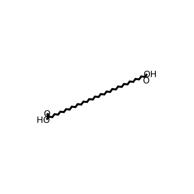 O=C(O)CCCCCCCCCCCCCCCCCCCCCCCCCCCCCCCCC(=O)O